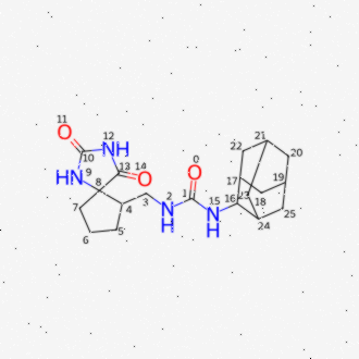 O=C(NCC1CCCC12NC(=O)NC2=O)NC1C2CC3CC(C2)CC1C3